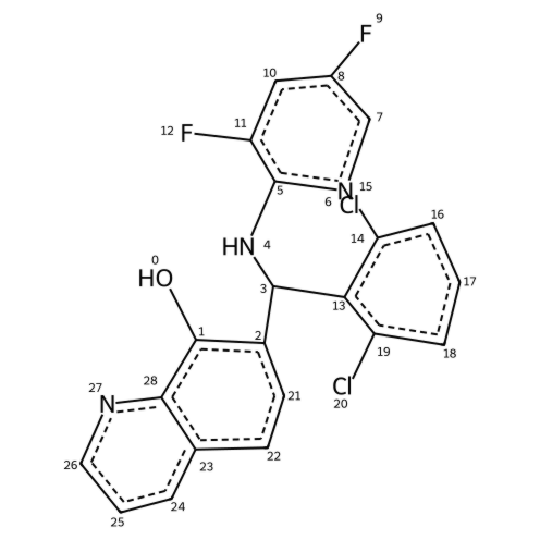 Oc1c(C(Nc2ncc(F)cc2F)c2c(Cl)cccc2Cl)ccc2cccnc12